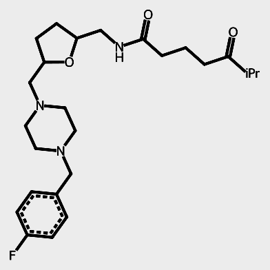 CC(C)C(=O)CCCC(=O)NCC1CCC(CN2CCN(Cc3ccc(F)cc3)CC2)O1